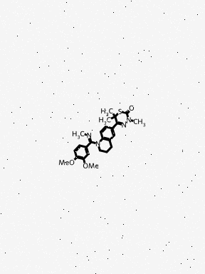 CN=C(c1ccc(OC)c(OC)c1)N1CCCc2cc(C3=NN(C)C(=O)SC3(C)C)ccc21